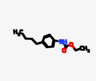 CCCCc1ccc(NC(=O)OCC)cc1